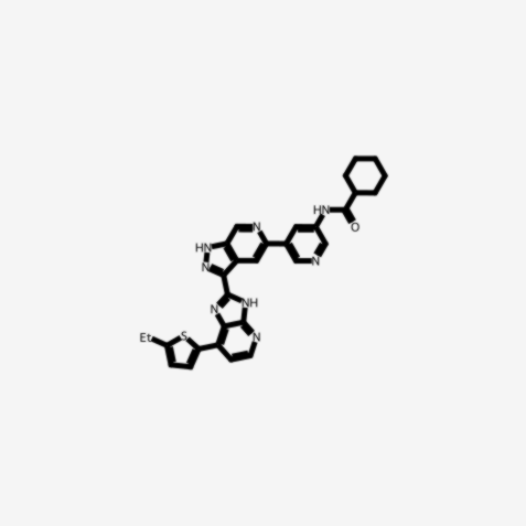 CCc1ccc(-c2ccnc3[nH]c(-c4n[nH]c5cnc(-c6cncc(NC(=O)C7CCCCC7)c6)cc45)nc23)s1